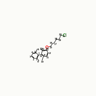 Cc1cccc(C)c1-c1c(C)ccc(OCCCCCCCl)c1C